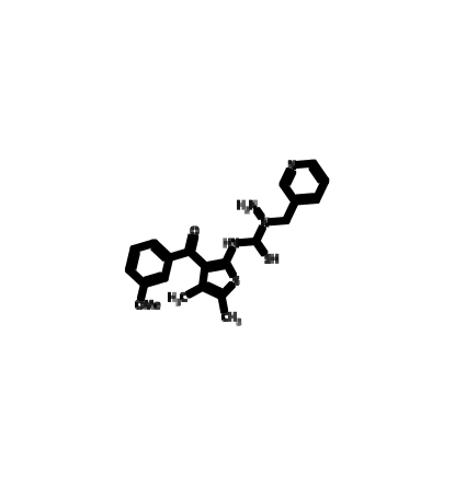 COc1cccc(C(=O)c2c(NC(S)N(N)Cc3cccnc3)sc(C)c2C)c1